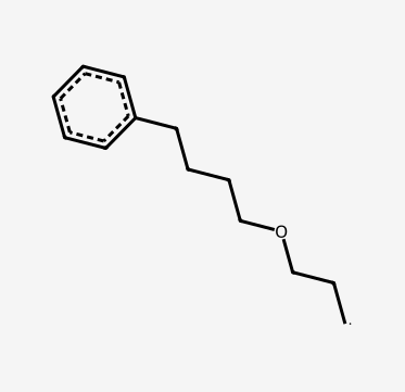 [CH2]CCOCCCCc1ccccc1